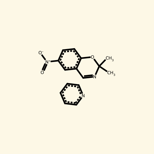 CC1(C)N=Cc2cc([N+](=O)[O-])ccc2O1.c1ccncc1